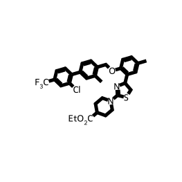 CCOC(=O)C1CCN(C2=NC(c3cc(C)ccc3OCc3ccc(-c4ccc(C(F)(F)F)cc4Cl)cc3C)CS2)CC1